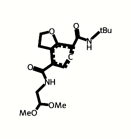 COC(CNC(=O)c1ccc(C(=O)NC(C)(C)C)c2c1CCO2)OC